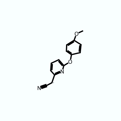 COc1ccc(Oc2cccc([CH]C#N)n2)cc1